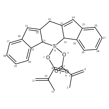 C=C(C)C(=O)[O][Ti]1([O]C(=O)C(=C)C)[CH]2C(=Cc3ccccc32)CC2=Cc3ccccc3[CH]21